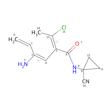 C=C/C(N)=C\C(C(=O)NC1(C#N)CC1)=C(/C)Cl